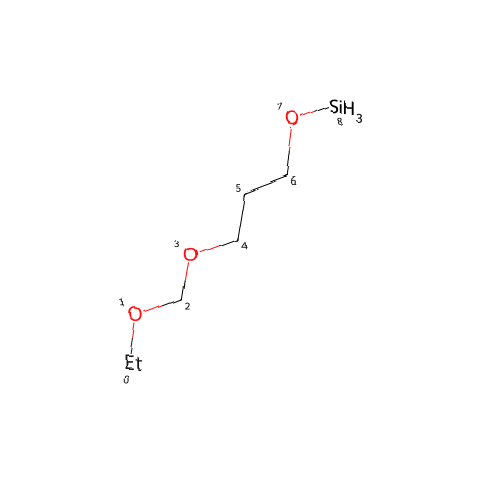 CCOCOCCCO[SiH3]